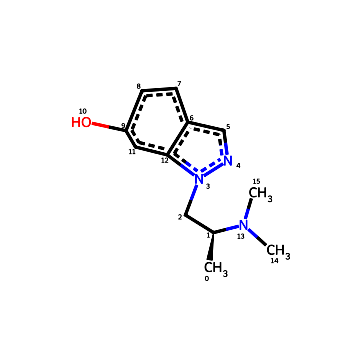 C[C@@H](Cn1ncc2ccc(O)cc21)N(C)C